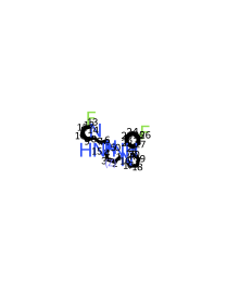 N=C(/C=C\c1ncc(-c2cccc(F)n2)[nH]1)N1CCC[C@@H]1c1cccc(F)c1